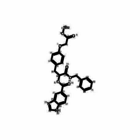 CC(C)(C)OC(=O)COc1ccc(CC(OC(=O)c2ccc3[nH]cnc3c2)C(=O)OCc2ccccc2)cc1